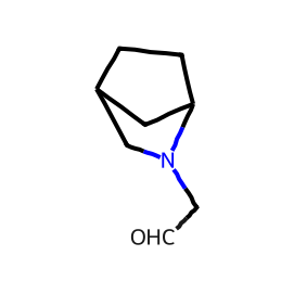 O=CCN1CC2CCC1C2